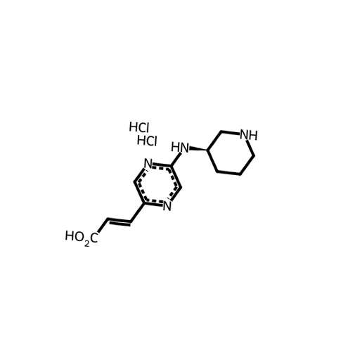 Cl.Cl.O=C(O)C=Cc1cnc(N[C@@H]2CCCNC2)cn1